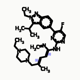 C=N/C(=C\C=C(/C)CN1CCN(CC)CC1)Nc1ncc(F)c(-c2ccc3nn(CC)c(C(C)C)c3c2)n1